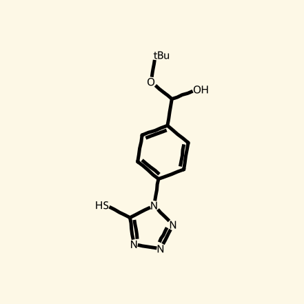 CC(C)(C)OC(O)c1ccc(-n2nnnc2S)cc1